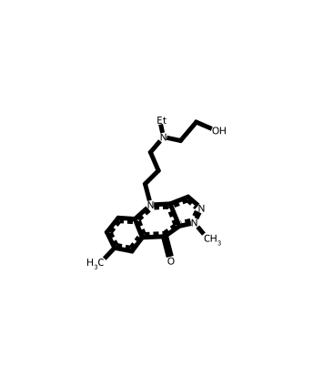 CCN(CCO)CCCn1c2ccc(C)cc2c(=O)c2c1cnn2C